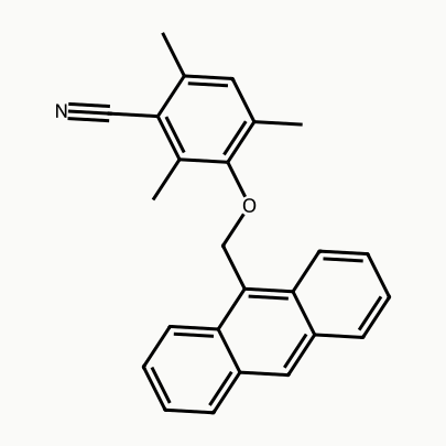 Cc1cc(C)c(OCc2c3ccccc3cc3ccccc23)c(C)c1C#N